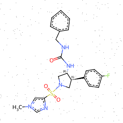 Cn1cnc(S(=O)(=O)N2C[C@H](NC(=O)NCc3ccccc3)[C@@H](c3ccc(F)cc3)C2)c1